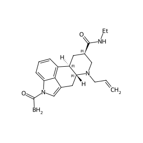 BC(=O)n1cc2c3c(cccc31)[C@H]1C[C@@H](C(=O)NCC)CN(CC=C)[C@@H]1C2